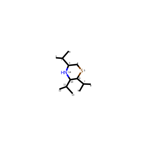 CC(C)C1CSC(C(C)C)C(C(C)C)N1